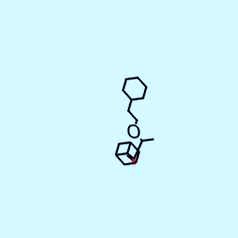 CC(OCCC1CCCCC1)C1=C2C3CC(C1)CC2C3